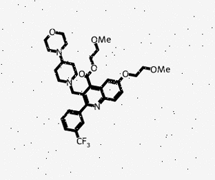 COCCOC(=O)c1c(CN2CCC(N3CCOCC3)CC2)c(-c2cccc(C(F)(F)F)c2)nc2ccc(OCCOC)cc12